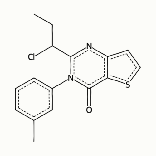 CCC(Cl)c1nc2ccsc2c(=O)n1-c1cccc(C)c1